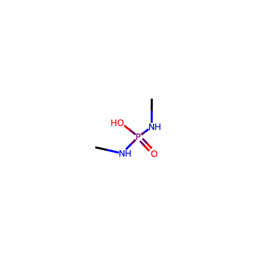 CNP(=O)(O)NC